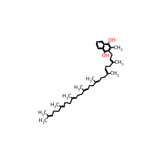 CC(C)=CCC/C(C)=C/CC/C(C)=C/CC/C(C)=C/CC/C(C)=C/CC/C(C)=C/CC/C(C)=C/Cc1c(C)c(O)c2ccccc2c1O